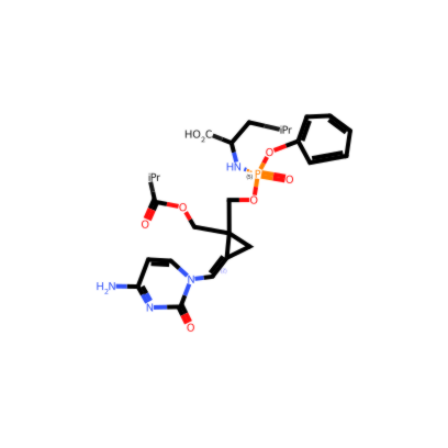 CC(C)CC(N[P@](=O)(OCC1(COC(=O)C(C)C)C/C1=C/n1ccc(N)nc1=O)Oc1ccccc1)C(=O)O